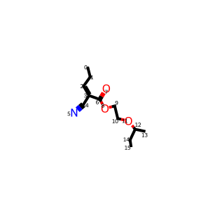 CCC=C(C#N)C(=O)OCCOC(C)CC